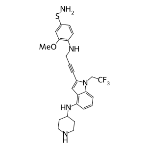 COc1cc(SN)ccc1NCC#Cc1cc2c(NC3CCNCC3)cccc2n1CC(F)(F)F